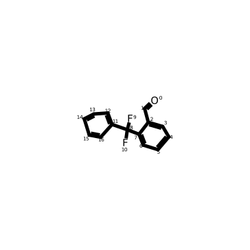 O=Cc1ccccc1C(F)(F)c1ccccc1